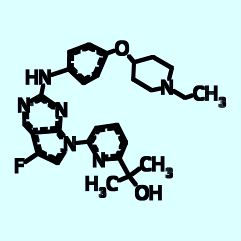 CCN1CCC(Oc2ccc(Nc3ncc4c(F)cn(-c5cccc(C(C)(C)O)n5)c4n3)cc2)CC1